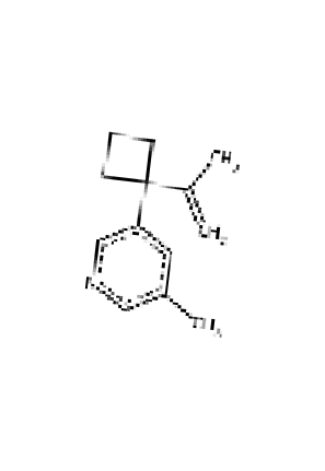 C=C(C)C1(c2cncc(C)c2)CCC1